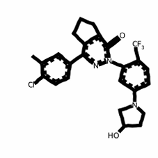 Cc1cc(-c2nn(-c3cc(N4CCC(O)C4)ccc3C(F)(F)F)c(=O)c3c2CCC3)ccc1Cl